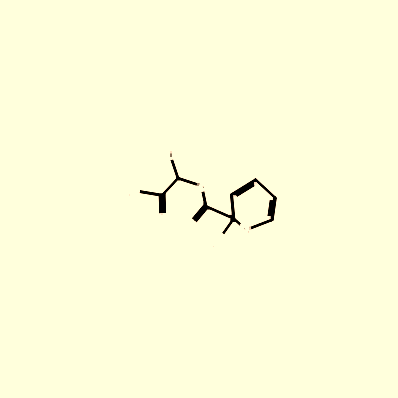 CC(C)C(NC(=O)C1(C(=O)O)C=CC=CN1)C(=O)C(F)(F)F